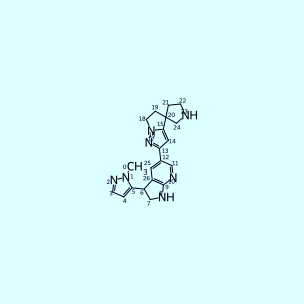 Cn1nccc1C1CNc2ncc(-c3cc4n(n3)CCC43CCNC3)cc21